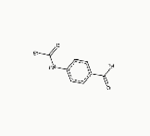 [2H]C(=O)c1ccc(NC(=O)CC)cc1